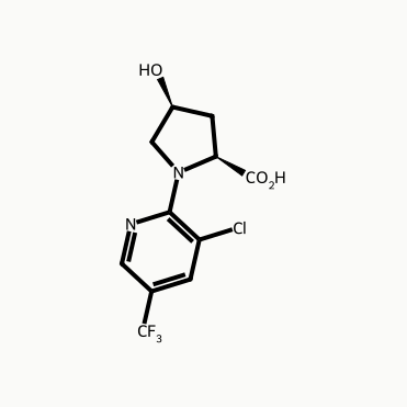 O=C(O)[C@@H]1C[C@H](O)CN1c1ncc(C(F)(F)F)cc1Cl